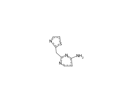 Nc1ccnc(Cc2nccs2)n1